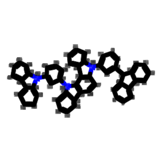 c1cc(C2c3ccccc3-c3ccccc32)cc(-n2c3ccccc3c3c2ccc2c4ccccc4n(-c4cccc(-n5c6ccccc6c6ccccc65)c4)c23)c1